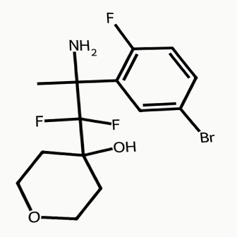 CC(N)(c1cc(Br)ccc1F)C(F)(F)C1(O)CCOCC1